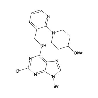 COC1CCN(c2ncccc2CNc2nc(Cl)nc3c2ncn3C(C)C)CC1